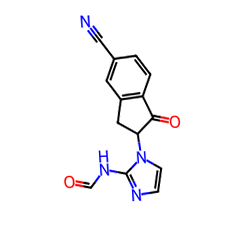 N#Cc1ccc2c(c1)CC(n1ccnc1NC=O)C2=O